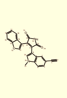 C#Cc1ccc2c(c1)c(C1=C(c3coc4ccccc34)C(=O)NC1=O)cn2C